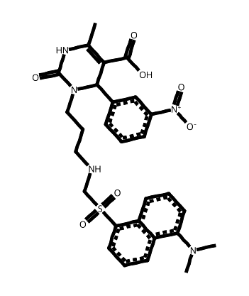 CC1=C(C(=O)O)C(c2cccc([N+](=O)[O-])c2)N(CCCNCS(=O)(=O)c2cccc3c(N(C)C)cccc23)C(=O)N1